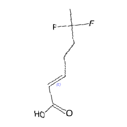 CC(F)(F)CC/C=C/C(=O)O